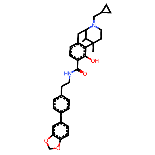 CC1C2Cc3ccc(C(=O)NCCc4ccc(-c5ccc6c(c5)OCO6)cc4)c(O)c3C1(C)CCN2CC1CC1